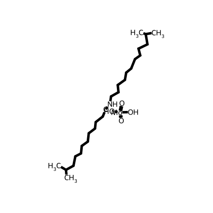 CC(C)CCCCCCCCCCNCCCCCCCCCCC(C)C.[O]=[Mo](=[O])([OH])[OH]